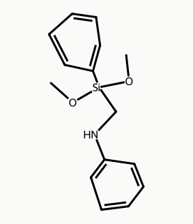 CO[Si](CNc1ccccc1)(OC)c1ccccc1